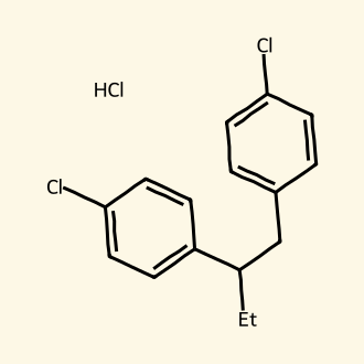 CCC(Cc1ccc(Cl)cc1)c1ccc(Cl)cc1.Cl